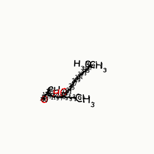 CCCCCCC(CCCCCCCC(CC)CC1CO1)C(O)CCCCCCCCCCCCCCCC(C)C